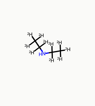 [2H]C([2H])([2H])C([2H])([2H])NC([2H])([2H])C([2H])([2H])[2H]